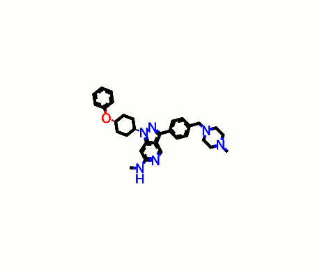 CNc1cc2c(cn1)c(-c1ccc(CN3CCN(C)CC3)cc1)nn2[C@H]1CC[C@@H](Oc2ccccc2)CC1